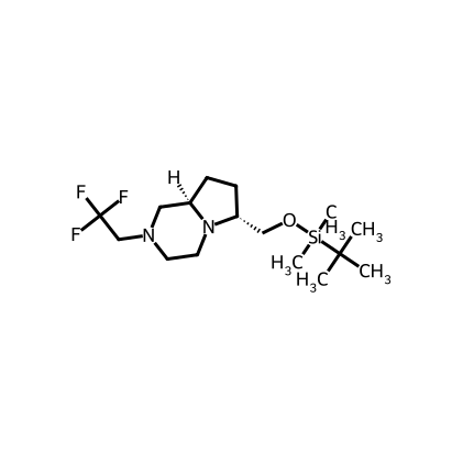 CC(C)(C)[Si](C)(C)OC[C@H]1CC[C@@H]2CN(CC(F)(F)F)CCN12